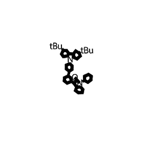 CC(C)(C)c1ccc2c(c1)c1cc(C(C)(C)C)ccc1n2-c1ccc(-c2cccc3c2oc2c3c3ccccc3n2-c2ccccc2)cc1